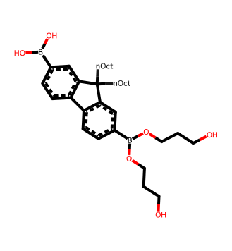 CCCCCCCCC1(CCCCCCCC)c2cc(B(O)O)ccc2-c2ccc(B(OCCCO)OCCCO)cc21